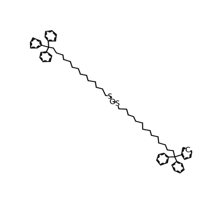 c1ccc(C(CCCCCCCCCCCCCCSOSCCCCCCCCCCCCCCC(c2ccccc2)(c2ccccc2)c2ccccc2)(c2ccccc2)c2ccccc2)cc1